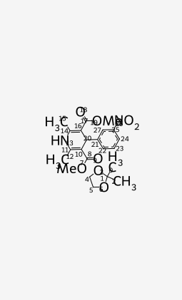 CC1(C)OCCO1.COC(=O)C1=C(C)NC(C)=C(C(=O)OC)C1c1cccc([N+](=O)[O-])c1